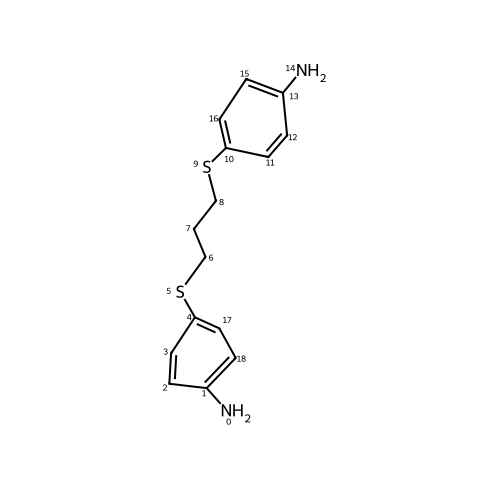 Nc1ccc(SCCCSc2ccc(N)cc2)cc1